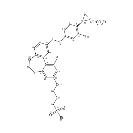 CCOC(=O)[C@H]1C[C@@H]1c1ccc(OCc2ccc3c(c2)-c2c(C)cc(OCCCS(=O)(=O)CC)cc2CCO3)cc1F